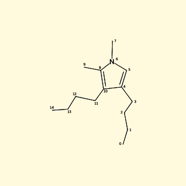 CCCCc1cn(C)c(C)c1CCCC